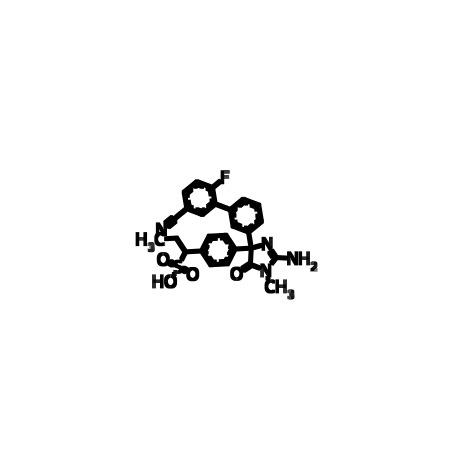 CCC(c1ccc(C2(c3cccc(-c4cc(C#N)ccc4F)c3)N=C(N)N(C)C2=O)cc1)S(=O)(=O)O